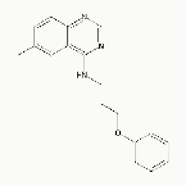 Cc1ccc2ncnc(NCCCOc3ccccc3)c2c1